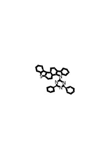 c1ccc(-c2nc(-c3ccccc3)nc(-n3c4ccccc4c4ccc5c(ccc6sc7ccccc7c65)c43)n2)cc1